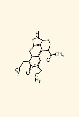 CCC1=CC2=C3C4=C(CNC4CCC3C(C)=O)CC2C(CC2CC2)[N+]1=O